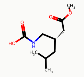 COC(=O)C[C@@H](CNC(=O)O)CC(C)C